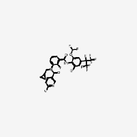 O=C(Nc1c(Br)cc(C(F)(C(F)(F)F)C(F)(F)F)cc1OC(F)F)c1cccc(N(CC2CC2)C(=O)c2ccc(Cl)nc2)c1F